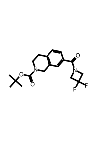 CC(C)(C)OC(=O)N1CCc2ccc(C(=O)N3CC(F)(F)C3)cc2C1